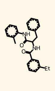 CCc1cccc(C(=O)NC(Cc2ccccc2)C(=O)Nc2ccccc2C)c1